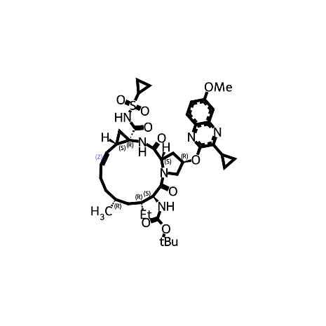 CC[C@@H]1C[C@H](C)CC/C=C\[C@@H]2C[C@@]2(C(=O)NS(=O)(=O)C2CC2)NC(=O)[C@@H]2C[C@@H](Oc3nc4ccc(OC)cc4nc3C3CC3)CN2C(=O)[C@H]1NC(=O)OC(C)(C)C